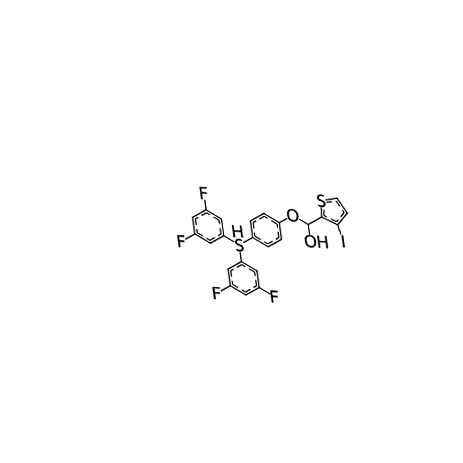 OC(Oc1ccc([SH](c2cc(F)cc(F)c2)c2cc(F)cc(F)c2)cc1)c1sccc1I